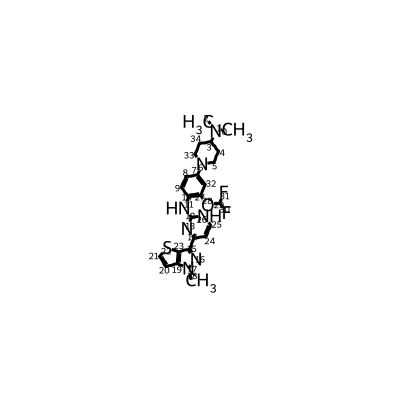 CN(C)C1CCN(c2ccc(NC3N=C(c4nn(C)c5ccsc45)C=CN3)c(OC(F)F)c2)CC1